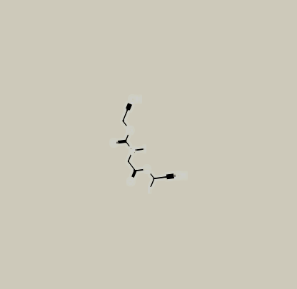 C#CCOC(=O)N(I)CC(=O)OC(I)C#C